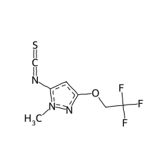 Cn1nc(OCC(F)(F)F)cc1N=C=S